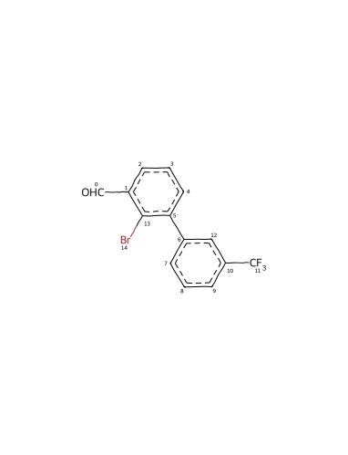 O=Cc1cccc(-c2cccc(C(F)(F)F)c2)c1Br